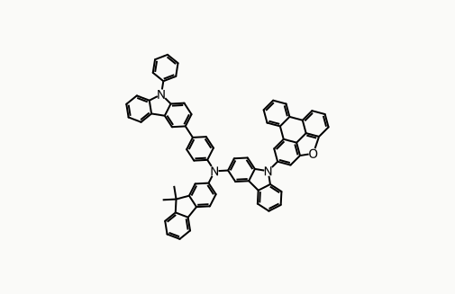 CC1(C)c2ccccc2-c2ccc(N(c3ccc(-c4ccc5c(c4)c4ccccc4n5-c4ccccc4)cc3)c3ccc4c(c3)c3ccccc3n4-c3cc4oc5cccc6c7ccccc7c(c3)c4c56)cc21